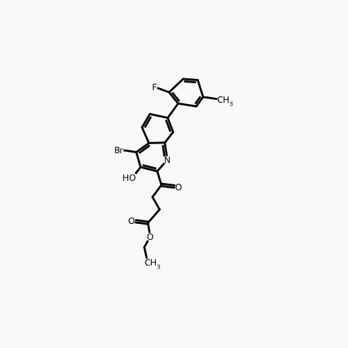 CCOC(=O)CCC(=O)c1nc2cc(-c3cc(C)ccc3F)ccc2c(Br)c1O